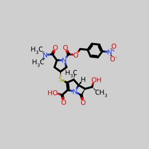 C[C@@H](O)[C@H]1C(=O)N2C(C(=O)O)=C(S[C@H]3CC(C(=O)N(C)C)N(C(=O)OCc4ccc([N+](=O)[O-])cc4)C3)[C@H](C)[C@H]12